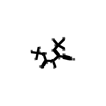 CN(C(=O)OC(C)(C)C)C(C#N)=CC(C)(C)C